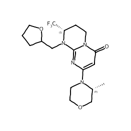 C[C@@H]1COCCN1c1cc(=O)n2c(n1)N(CC1CCCO1)[C@H](C(F)(F)F)CC2